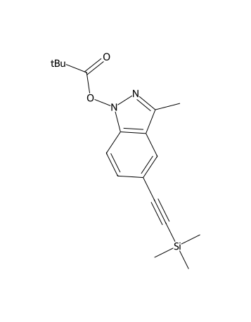 Cc1nn(OC(=O)C(C)(C)C)c2ccc(C#C[Si](C)(C)C)cc12